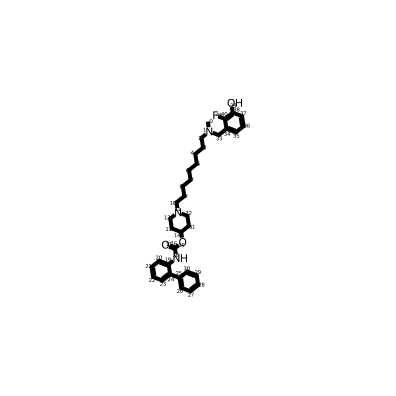 CN(CCCCCCCCCN1CCC(OC(=O)Nc2ccccc2-c2ccccc2)CC1)Cc1cccc(O)c1F